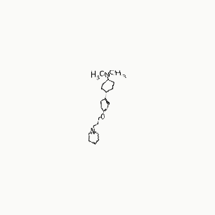 CN(C)[C@H]1CC[C@H](c2ccc(OCCCN3CCCCC3)cc2)CC1